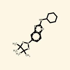 CC1(C)OB(c2ccc3oc(NC4CCCCC4)nc3c2)OC1(C)C